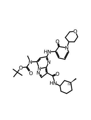 C[C@H]1CCCC(NC(=O)c2cnn3c(N(C)C(=O)OC(C)(C)C)cc(Nc4cccn(C5CCOCC5)c4=O)nc23)C1